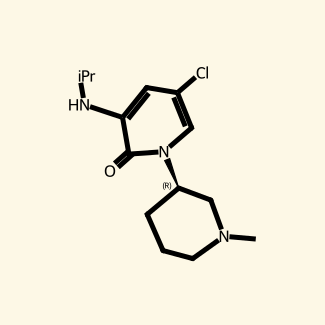 CC(C)Nc1cc(Cl)cn([C@@H]2CCCN(C)C2)c1=O